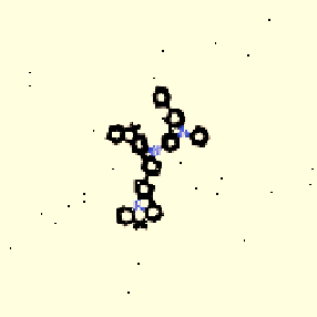 CC1(C)c2ccccc2-c2cc3c4cc(-c5ccc6c(c5)C5=CC=CC7C5N6C5C=CC=CC5C7(C)C)ccc4n(-c4ccc5c(c4)c4cc(-c6ccccc6)ccc4n5-c4ccccc4)c3cc21